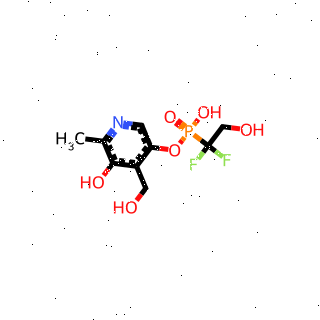 Cc1ncc(OP(=O)(O)C(F)(F)CO)c(CO)c1O